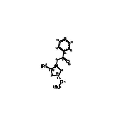 CC(C)[C@@H]1C[C@@H](OC(C)(C)C)CN1CC(=O)c1ccccc1